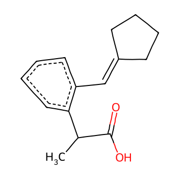 CC(C(=O)O)c1ccccc1C=C1CCCC1